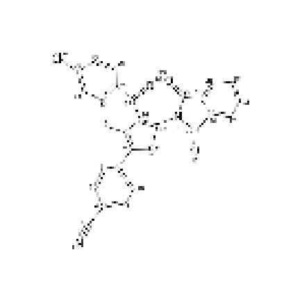 Cc1c(-c2ccc(C#N)cc2)sc(N2C(=O)c3ccccc3C2=O)c1C(=O)c1ccc(Cl)cc1